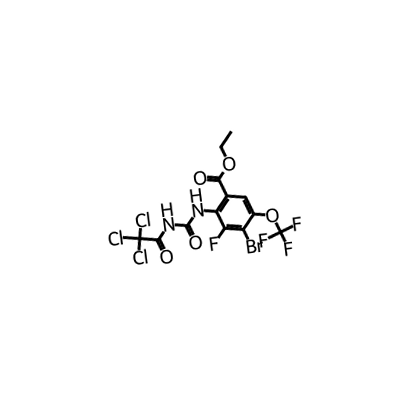 CCOC(=O)c1cc(OC(F)(F)F)c(Br)c(F)c1NC(=O)NC(=O)C(Cl)(Cl)Cl